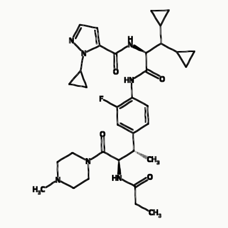 CCC(=O)N[C@@H](C(=O)N1CCN(C)CC1)[C@@H](C)c1ccc(NC(=O)[C@@H](NC(=O)c2ccnn2C2CC2)C(C2CC2)C2CC2)c(F)c1